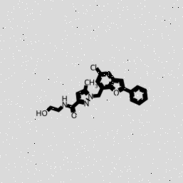 Cc1cc(C(=O)NCCO)nn1Cc1cc(Cl)cc2cc(-c3ccccc3)oc12